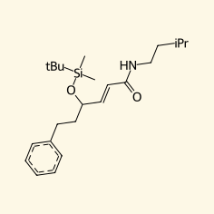 CC(C)CCNC(=O)C=CC(CCc1ccccc1)O[Si](C)(C)C(C)(C)C